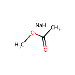 COC(C)=O.[NaH]